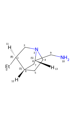 CC[C@H]1CN2CC[C@H]1C[C@H]2CN